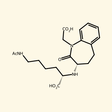 CC(=O)NCCCC[C@H](N[C@H]1CCc2ccccc2N(CC(=O)O)C1=O)C(=O)O